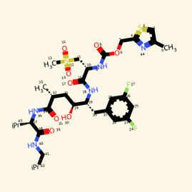 Cc1csc(COC(=O)N[C@@H](CS(C)(=O)=O)C(=O)N[C@H](Cc2cc(F)cc(F)c2)[C@@H](O)C[C@@H](C)C(=O)N[C@@H](C(=O)NCC(C)C)C(C)C)n1